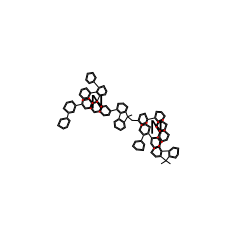 CC1(C)c2ccccc2-c2c(-c3cccc(N(c4ccccc4-c4ccc(CC5(C)c6ccccc6-c6c(-c7cccc(N(c8ccc(-c9cccc(-c%10ccccc%10)c9)cc8)c8cccc(-c9ccccc9)c8-c8ccccc8-c8ccccc8)c7)cccc65)cc4)c4cccc(-c5ccccc5)c4-c4ccccc4-c4ccccc4)c3)cccc21